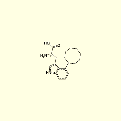 N[C@@H](Cc1c[nH]c2cccc(C3CCCCCCC3)c12)C(=O)O